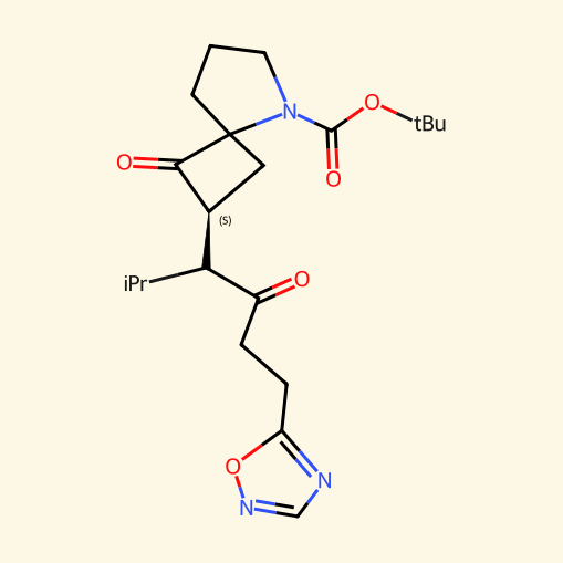 CC(C)C(C(=O)CCc1ncno1)[C@@H]1CC2(CCCN2C(=O)OC(C)(C)C)C1=O